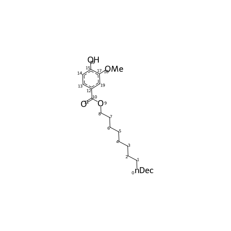 CCCCCCCCCCCCCCCCCCOC(=O)c1ccc(O)c(OC)c1